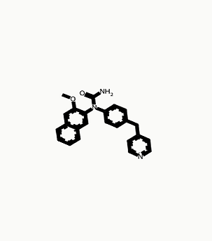 COc1cc2ccccc2cc1N(C(N)=O)c1ccc(Cc2ccncc2)cc1